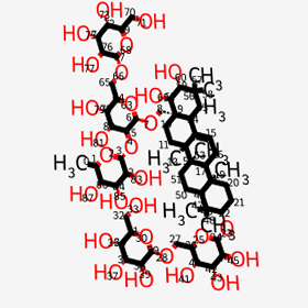 CC1O[C@@H](OC2[C@H](OC[C@@]34CC[C@]5(C)C(=CCC6[C@@]7(C)CC[C@H](O[C@@H]8OC(CO[C@@H]9OC(CO)[C@@H](O)[C@@H](O)C9O)[C@@H](O)[C@@H](O)C8O)C(C)(C)C7CC[C@]65C)C3CC(C)(C)[C@@H](O)[C@@H]4O)OC(CO[C@@H]3OC(CO)[C@@H](O)[C@@H](O)C3O)[C@@H](O)[C@H]2O)C(O)[C@@H](O)[C@H]1O